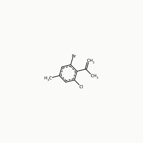 C=C(C)c1c(Cl)cc(C)cc1Br